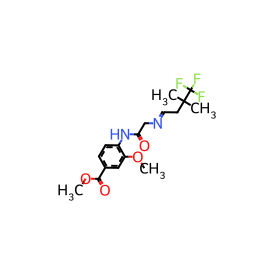 COC(=O)c1ccc(NC(=O)CN=CCC(C)(C)C(F)(F)F)c(OC)c1